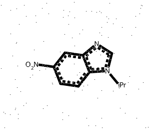 CC(C)n1cnc2cc([N+](=O)[O-])ccc21